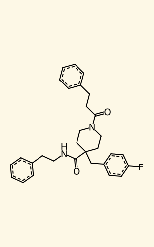 O=C(CCc1ccccc1)N1CCC(Cc2ccc(F)cc2)(C(=O)NCCc2ccccc2)CC1